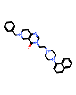 O=c1c2c(ncn1CCN1CCN(c3cccc4ccccc34)CC1)CCN(Cc1ccccc1)C2